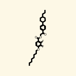 CCCCCCCCOc1ccc(C(=O)OCC(=O)c2ccc(C3CCC(CCC)CC3)cc2)c(F)c1F